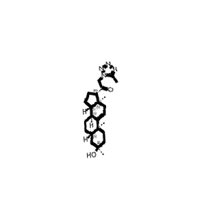 Cc1nnnn1CC(=O)[C@H]1CC[C@H]2[C@@H]3CC[C@H]4C[C@](C)(O)CC[C@]4(C)C3=CC[C@]12C